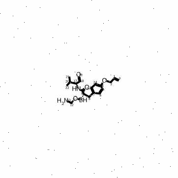 C=CCOc1ccc(C[C@H](BOCN)C(=O)N[C@H](C=O)C(C)C)cc1